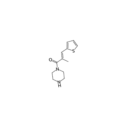 C/C(=C\c1cccs1)C(=O)N1CCNCC1